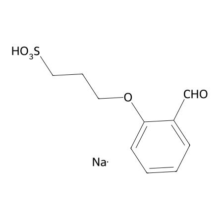 O=Cc1ccccc1OCCCS(=O)(=O)O.[Na]